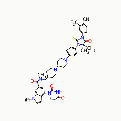 CC(C)n1ccc2c(N3CCC(=O)NC3=O)cc(C(=O)N(C)CC3CCN(C4CCN(c5ccc(N6C(=S)N(c7ccc(C#N)c(C(F)(F)F)c7)C(=O)C6(C)C)cc5)CC4)CC3)cc21